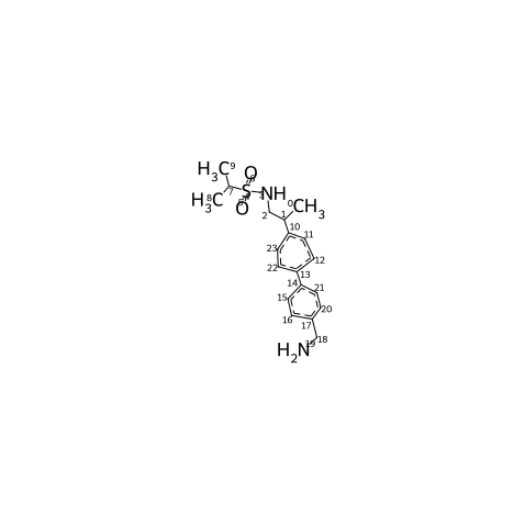 CC(CNS(=O)(=O)C(C)C)c1ccc(-c2ccc(CN)cc2)cc1